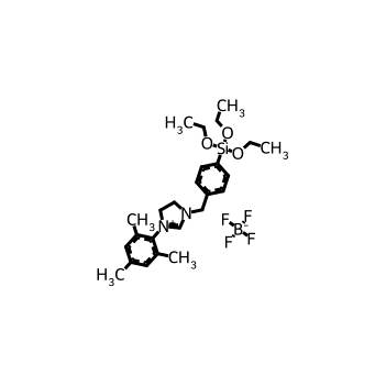 CCO[Si](OCC)(OCC)c1ccc(CN2C=[N+](c3c(C)cc(C)cc3C)CC2)cc1.F[B-](F)(F)F